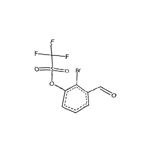 O=Cc1cccc(OS(=O)(=O)C(F)(F)F)c1Br